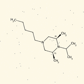 CCCCCN1C[C@@H](C)N(C(C)C)[C@@H](C)C1